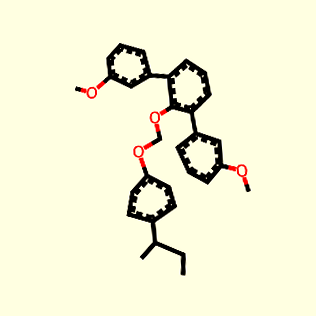 CCC(C)c1ccc(OCOc2c(-c3cccc(OC)c3)cccc2-c2cccc(OC)c2)cc1